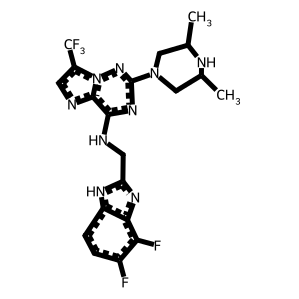 CC1CN(c2nc(NCc3nc4c(F)c(F)ccc4[nH]3)c3ncc(C(F)(F)F)n3n2)CC(C)N1